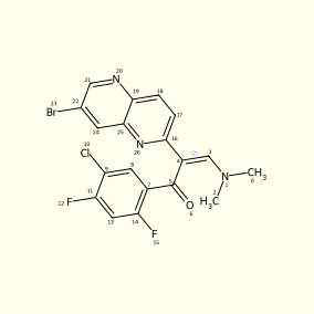 CN(C)/C=C(\C(=O)c1cc(Cl)c(F)cc1F)c1ccc2ncc(Br)cc2n1